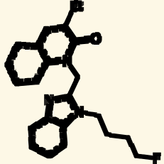 CCc1cc2ccccc2n(Cc2nc3ccccc3n2CCCCF)c1=O